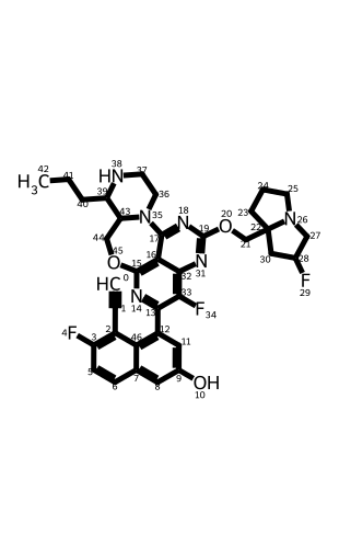 C#Cc1c(F)ccc2cc(O)cc(-c3nc4c5c(nc(OCC67CCCN6CC(F)C7)nc5c3F)N3CCNC(CCC)C3CO4)c12